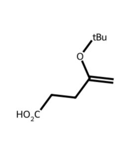 C=C(CCC(=O)O)OC(C)(C)C